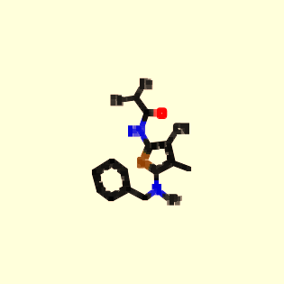 CCC(CC)C(=O)Nc1sc(N(Cc2ccccc2)C(C)C)c(C)c1C#N